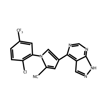 N#Cc1cc(-c2ncnc3[nH]ncc23)cn1-c1cc(C(F)(F)F)ccc1Cl